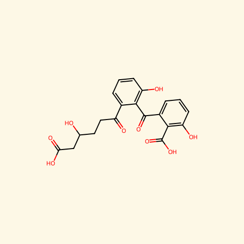 O=C(O)CC(O)CCC(=O)c1cccc(O)c1C(=O)c1cccc(O)c1C(=O)O